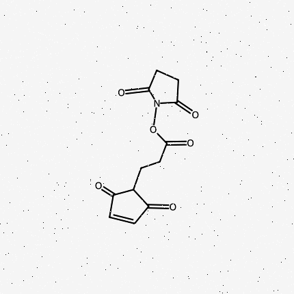 O=C(CCC1C(=O)C=CC1=O)ON1C(=O)CCC1=O